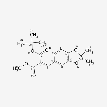 COC(=O)C(=Cc1ccc2c(c1)OC(C)(C)O2)C(=O)OC(C)(C)C